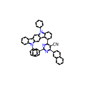 N#Cc1c(-c2ccc3ccccc3c2)nc(-c2ccccc2)nc1-c1cccc2c1c1cc3c(cc1n2-c1ccccc1)c1ccccc1n3-c1ccccc1